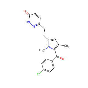 Cc1cc(CCc2ccc(=O)[nH]n2)n(C)c1C(=O)c1ccc(Cl)cc1